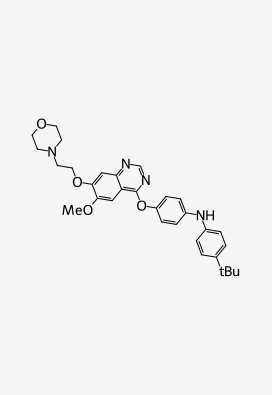 COc1cc2c(Oc3ccc(Nc4ccc(C(C)(C)C)cc4)cc3)ncnc2cc1OCCN1CCOCC1